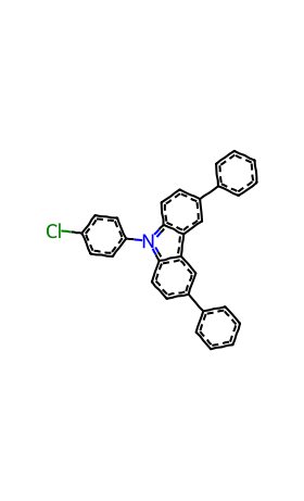 Clc1ccc(-n2c3ccc(-c4ccccc4)cc3c3cc(-c4ccccc4)ccc32)cc1